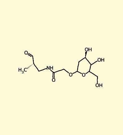 C[C@H](C=O)CNC(=O)COC1C[C@@H](O)C(O)C(CO)O1